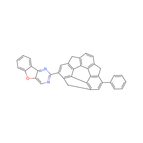 c1ccc(-c2cc3c4c5c2Cc2ccc6c(c25)c2c(cc(-c5ncc7oc8ccccc8c7n5)c(c24)C3)C6)cc1